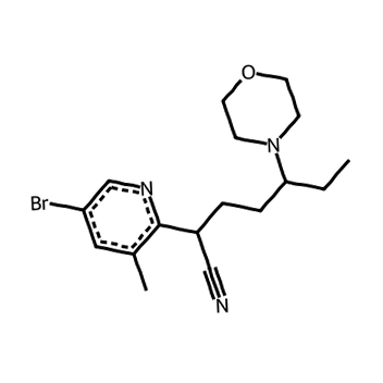 CCC(CCC(C#N)c1ncc(Br)cc1C)N1CCOCC1